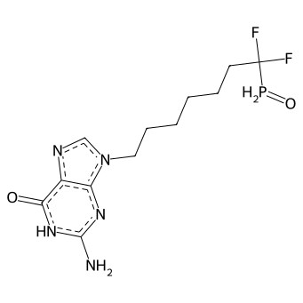 Nc1nc2c(ncn2CCCCCCC(F)(F)[PH2]=O)c(=O)[nH]1